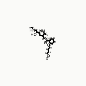 CCNCC(O)C(N)CC(CNC(=O)c1ccccc1OCCCCOC)C(C)C